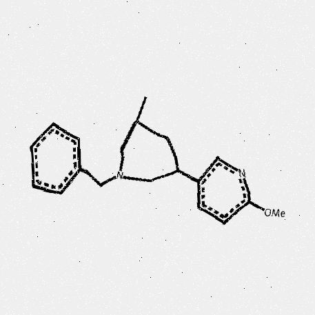 COc1ccc(C2CC(C)CN(Cc3ccccc3)C2)cn1